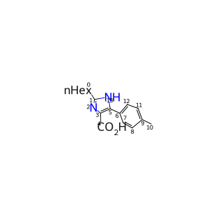 CCCCCCc1nc(C(=O)O)c(-c2ccc(C)cc2)[nH]1